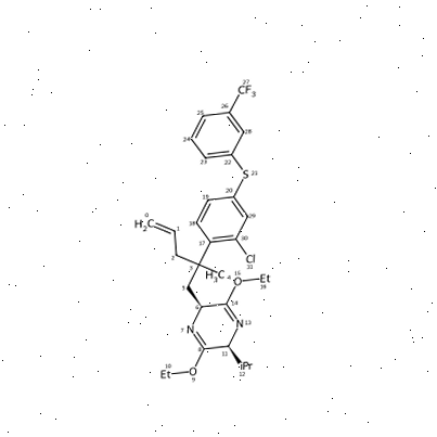 C=CCC(C)(C[C@@H]1N=C(OCC)[C@H](C(C)C)N=C1OCC)c1ccc(Sc2cccc(C(F)(F)F)c2)cc1Cl